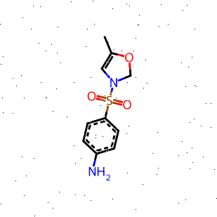 CC1=CN(S(=O)(=O)c2ccc(N)cc2)CO1